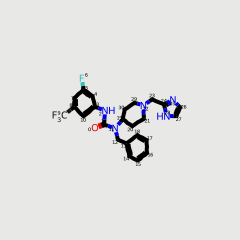 O=C(Nc1cc(F)cc(C(F)(F)F)c1)N(Cc1ccccc1)C1CCN(Cc2ncc[nH]2)CC1